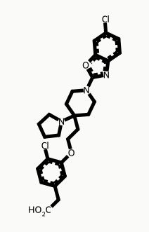 O=C(O)Cc1ccc(Cl)c(OCCC2(N3CCCC3)CCN(c3nc4ccc(Cl)cc4o3)CC2)c1